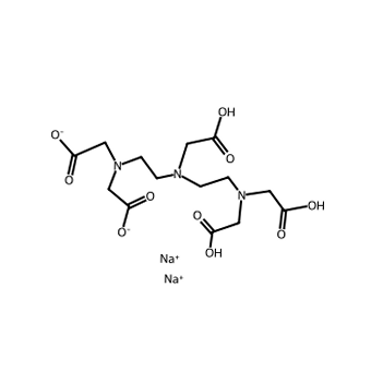 O=C([O-])CN(CCN(CCN(CC(=O)O)CC(=O)O)CC(=O)O)CC(=O)[O-].[Na+].[Na+]